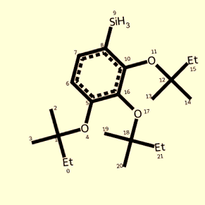 CCC(C)(C)Oc1ccc([SiH3])c(OC(C)(C)CC)c1OC(C)(C)CC